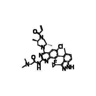 C=CC(=O)N1C[C@H](C)N(c2nc(NC(=O)CN(C)C)nc3c(F)c(-c4c(C)ccc5[nH]nc(C6CC6)c45)c(Cl)cc23)C[C@H]1C